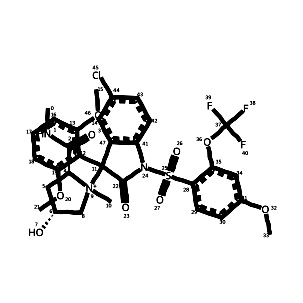 CNC(=O)[C@@H]1C[C@@H](O)C[N+]1(C)C1(c2c(OC)cccc2OC)C(=O)N(S(=O)(=O)c2ccc(OC)cc2OC(F)(F)F)c2ccc(Cl)cc21